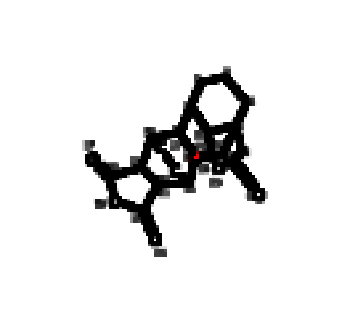 O=C1CC23CCCC(C4C(C2)C2CCC4C4C(=O)OC(=O)C24)C3C(=O)O1